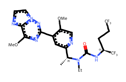 CCN(C(=O)N[C@@H](CCC(F)(F)F)C(F)(F)F)[C@H](C)c1cc(-c2nc(OC)c3nccn3n2)c(OC)cn1